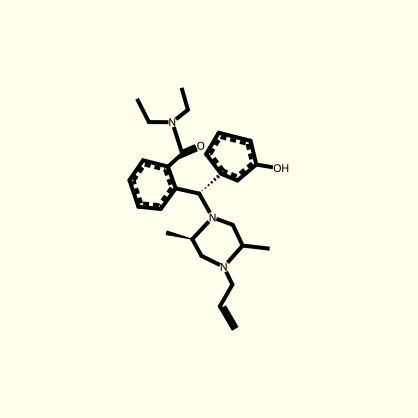 C=CCN1C[C@@H](C)N([C@@H](c2cccc(O)c2)c2ccccc2C(=O)N(CC)CC)CC1C